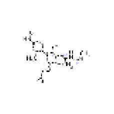 C/N=C\N/C(C)=C/C(C(=O)NOCC1CC1)=C(\CF)Nc1ccc(NBr)cc1C